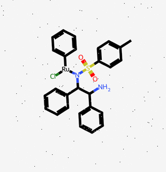 Cc1ccc(S(=O)(=O)[N](C(c2ccccc2)C(N)c2ccccc2)[Ru]([Cl])[c]2ccccc2)cc1